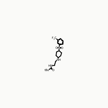 CC(C)(C)C(=O)NCCNC1CCC(S(=O)(=O)c2cccc(C(F)(F)F)c2)CC1